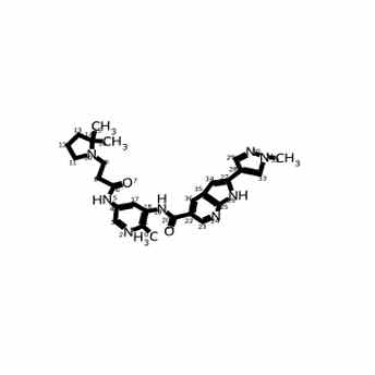 Cc1ncc(NC(=O)CCN2CCCC2(C)C)cc1NC(=O)c1cnc2[nH]c(-c3cnn(C)c3)cc2c1